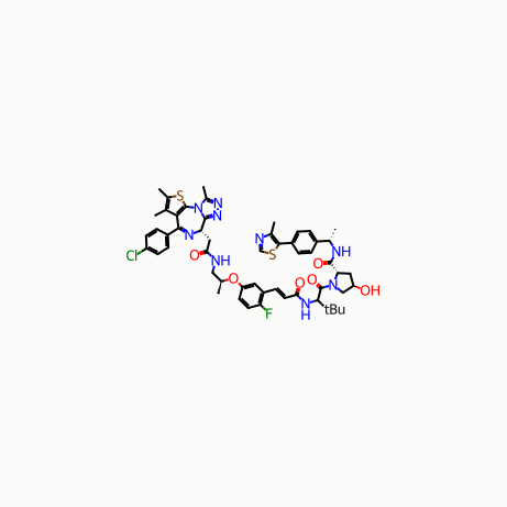 Cc1ncsc1-c1ccc([C@H](C)NC(=O)[C@@H]2C[C@@H](O)CN2C(=O)C(NC(=O)/C=C/c2cc(O[C@@H](C)CNC(=O)C[C@@H]3N=C(c4ccc(Cl)cc4)c4c(sc(C)c4C)-n4c(C)nnc43)ccc2F)C(C)(C)C)cc1